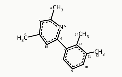 Cc1cc(C)nc(-c2cccc(C)c2C)c1